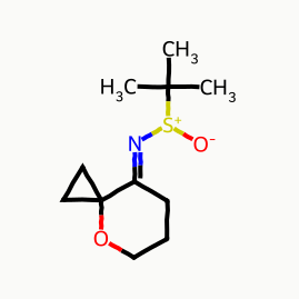 CC(C)(C)[S+]([O-])N=C1CCCOC12CC2